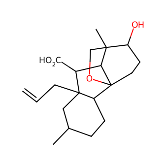 C=CCC12CC(C)CCC1C13CCC(O)C(C)(CO1)C3C2C(=O)O